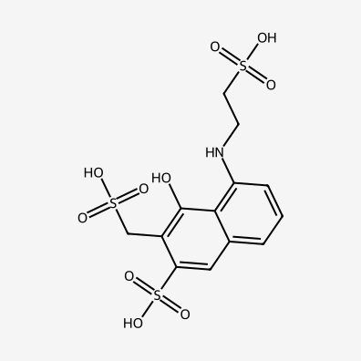 O=S(=O)(O)CCNc1cccc2cc(S(=O)(=O)O)c(CS(=O)(=O)O)c(O)c12